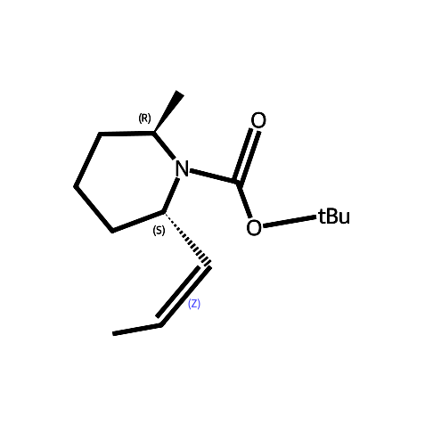 C/C=C\[C@@H]1CCC[C@@H](C)N1C(=O)OC(C)(C)C